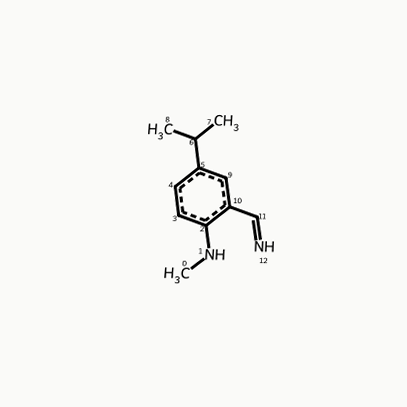 CNc1ccc(C(C)C)cc1C=N